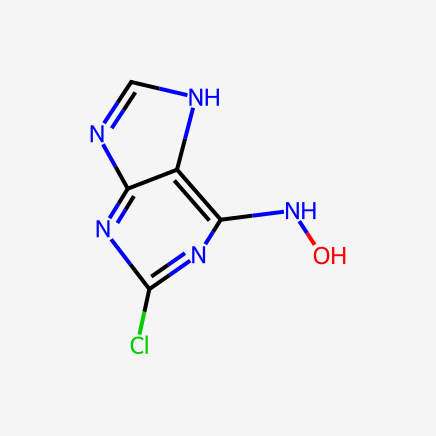 ONc1nc(Cl)nc2nc[nH]c12